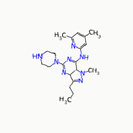 CCCC1=NN(C)C2C(Nc3cc(C)cc(C)n3)=NC(N3CCNCC3)=NC12